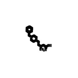 CN(CCN1CCN(Cc2ccccc2)CC1)CC(O)=S